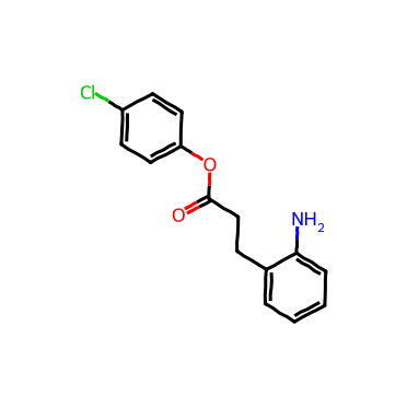 Nc1ccccc1CCC(=O)Oc1ccc(Cl)cc1